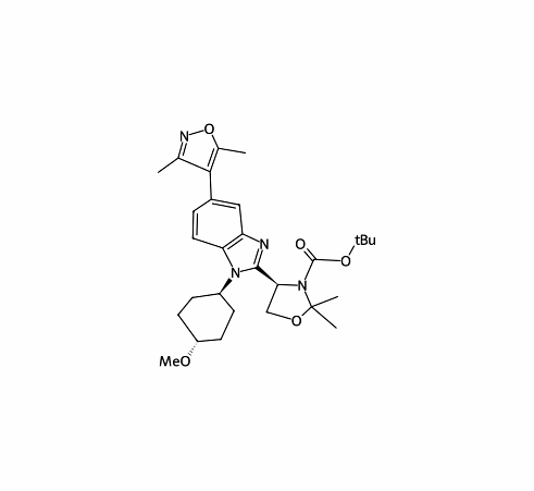 CO[C@H]1CC[C@H](n2c([C@@H]3COC(C)(C)N3C(=O)OC(C)(C)C)nc3cc(-c4c(C)noc4C)ccc32)CC1